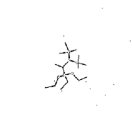 CCO[Si](CC)(OCC)C(C)N([Si](C)(C)C)[Si](C)(C)C